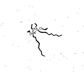 CCCCCCCC[Si](OCC)(OCC)O[Si](CCCCCCCC)(OCC)OCC